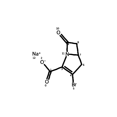 O=C([O-])C1=C(Br)CC2CC(=O)N12.[Na+]